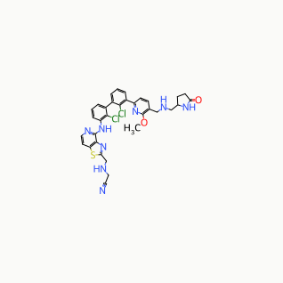 COc1nc(-c2cccc(-c3cccc(Nc4nccc5sc(CNCC#N)nc45)c3Cl)c2Cl)ccc1CNCC1CCC(=O)N1